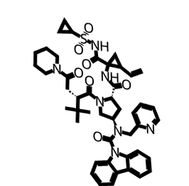 C=CC1CC1(NC(=O)[C@@H]1C[C@@H](N(Cc2ccccn2)C(=O)n2c3ccccc3c3ccccc32)CN1C(=O)[C@@H](CC(=O)N1CCCCC1)C(C)(C)C)C(=O)NS(=O)(=O)C1CC1